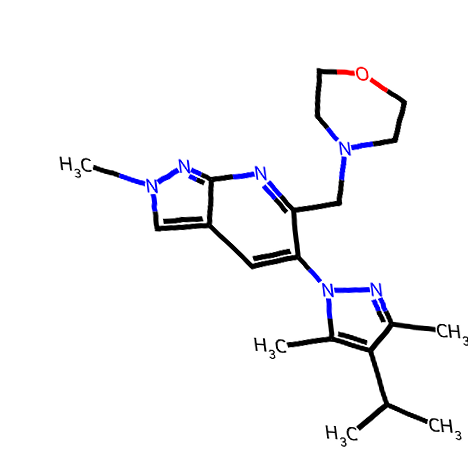 Cc1nn(-c2cc3cn(C)nc3nc2CN2CCOCC2)c(C)c1C(C)C